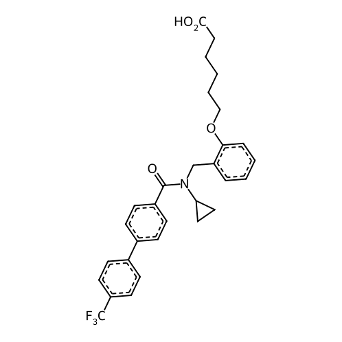 O=C(O)CCCCCOc1ccccc1CN(C(=O)c1ccc(-c2ccc(C(F)(F)F)cc2)cc1)C1CC1